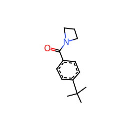 CC(C)(C)c1ccc(C(=O)N2CCC2)cc1